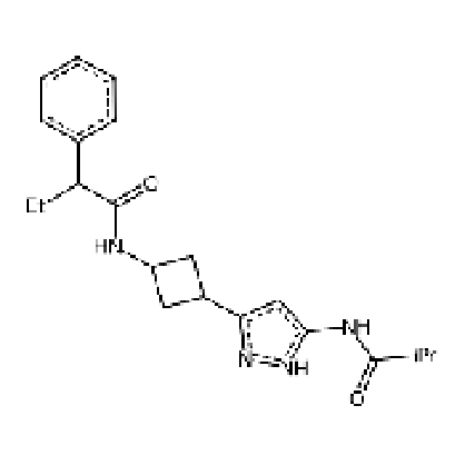 CCC(C(=O)NC1CC(c2cc(NC(=O)C(C)C)[nH]n2)C1)c1ccccc1